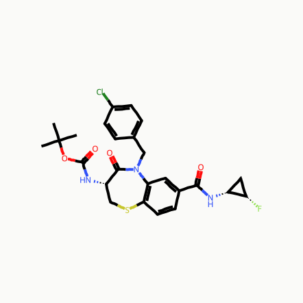 CC(C)(C)OC(=O)N[C@H]1CSc2ccc(C(=O)N[C@@H]3C[C@@H]3F)cc2N(Cc2ccc(Cl)cc2)C1=O